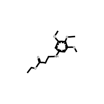 CCOC(=O)CCNc1cc(OC)c(OC)c(OC)c1